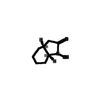 O=C1C[C@H]2CCCC[C@H]2N1O